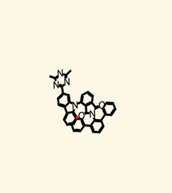 Cc1nc(C)nc(-c2ccc3c4ccccc4n(-c4cccc5c4C(=O)N(c4c(-c6ccccc6)cccc4-c4ccccc4)C5=O)c3c2)n1